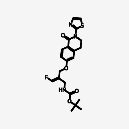 CC(C)(C)OC(=O)NC/C(=C/F)COc1ccc2c(c1)CCN(c1nccs1)C2=O